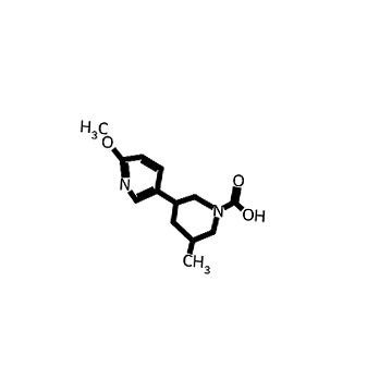 COc1ccc(C2CC(C)CN(C(=O)O)C2)cn1